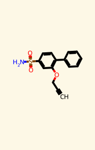 C#CCOc1cc(S(N)(=O)=O)ccc1-c1ccccc1